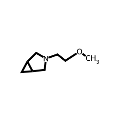 COCCN1CC2CC2C1